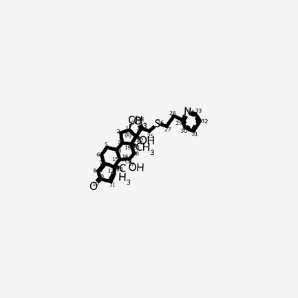 C[C@@H]1CC2C3CCC4=CC(=O)C=CC4(C)C3[C@@H](O)CC2(C)[C@@]1(O)C(=O)CSCCc1ccccn1